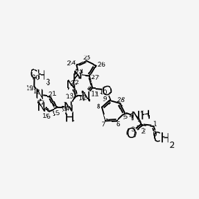 C=CC(=O)Nc1cccc(Oc2nc(Nc3cnn(CC)c3)nn3cccc23)c1